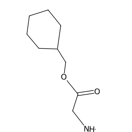 [NH]CC(=O)OCC1CCCCC1